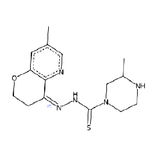 Cc1cnc2c(c1)OCC/C2=N/NC(=S)N1CCNC(C)C1